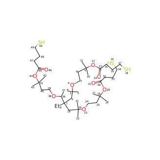 CCC(CC(C)(C)OCCC(C)(C)OC(=O)CCCS)(CC(C)(C)OCCC(C)(C)OC(=O)CCCS)C(C)OCCC(C)(C)OC(=O)CCCS